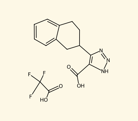 O=C(O)C(F)(F)F.O=C(O)c1[nH]nnc1C1CCc2ccccc2C1